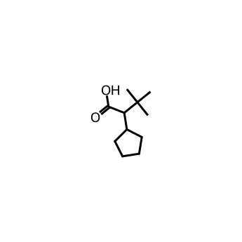 CC(C)(C)C(C(=O)O)C1CCCC1